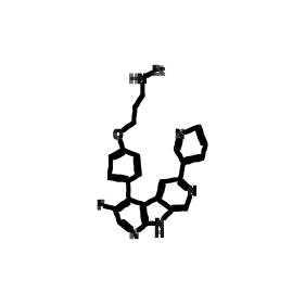 CCNCCCOc1ccc(-c2c(F)cnc3[nH]c4cnc(-c5cccnc5)cc4c23)cc1